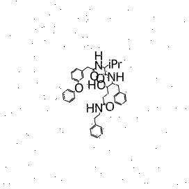 CC(C)C(NC(=O)Cc1cccc(Oc2ccccc2)c1)C(=O)NC(Cc1ccccc1)C(O)CCC(=O)NCCc1ccccc1